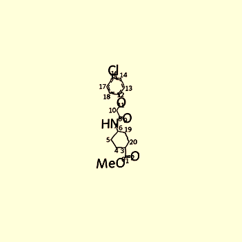 COC(=O)C1CCC(NC(=O)COc2ccc(Cl)cc2)CC1